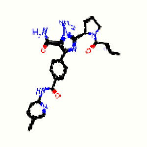 C/C=C/C(=O)N1CCCC1c1nc(-c2ccc(C(=O)Nc3ccc(C)cn3)cc2)c(C(N)=O)n1N